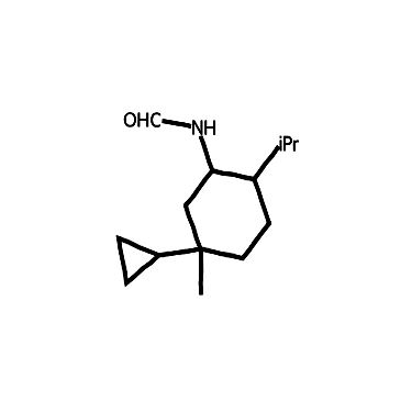 CC(C)C1CCC(C)(C2CC2)CC1NC=O